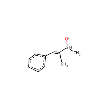 C/C(=C\c1ccccc1)[SiH](C)[O]